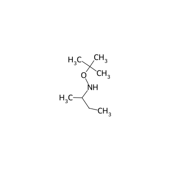 CCC(C)NOC(C)(C)C